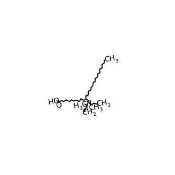 C=CCC(C)N(CC(/C=C/CCCCCCCCCCCCCCCC)CCCCCCCCCCC(=O)O)C(C)CC=C